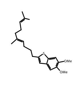 COc1cc2cc(CCC/C=C(\C)CCC=C(C)C)sc2cc1OC